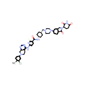 N#Cc1ccc(N2CCc3c(ncnc3Nc3ccc(C(=O)N[C@H]4CC[C@H](CN5CCN(c6ccc7c(c6)CN(C6CCC(=O)NC6=O)C7=O)CC5)CC4)c(F)n3)C2)cc1Cl